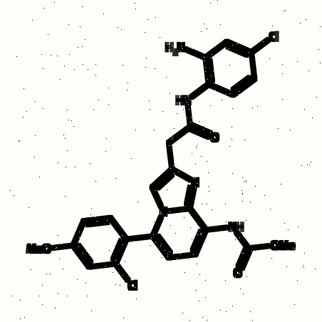 COC(=O)Nc1ccc(-c2ccc(OC)cc2Cl)n2cc(CC(=O)Nc3ccc(Cl)cc3N)nc12